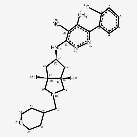 Cc1c(-c2ccccc2F)nnc(N[C@H]2C[C@@H]3CN(CC4CCOCC4)C[C@@H]3C2)c1C#N